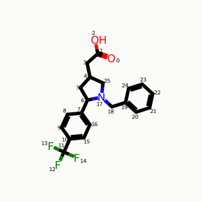 O=C(O)CC1CC(c2ccc(C(F)(F)F)cc2)N(Cc2ccccc2)C1